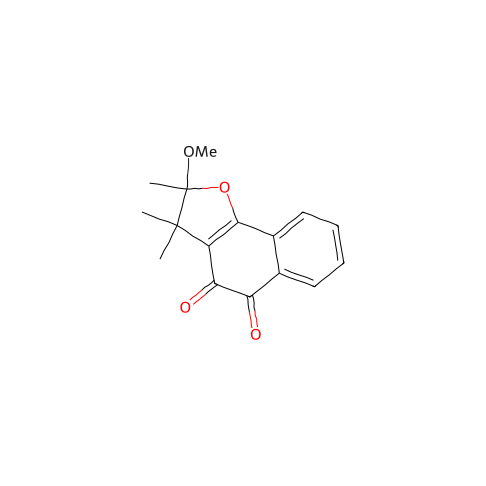 COC1(C)OC2=C(C(=O)C(=O)c3ccccc32)C1(C)C